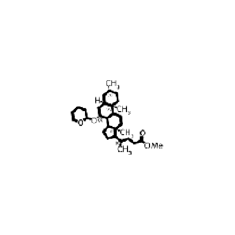 COC(=O)CC[C@@H](C)C1CCC2C3C(CC[C@@]21C)[C@@]1(C)CC[C@@H](C)C[C@H]1C[C@H]3OC1CCCCO1